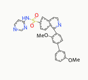 COc1cccc(-c2ccc(-c3nccc4cc(S(=O)(=O)Nc5ccncn5)ccc34)c(OC)c2)c1